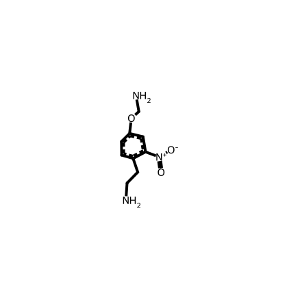 NCCc1ccc(OCN)cc1[N+](=O)[O-]